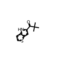 CC(C)(C)C(=O)c1cc2sccc2[nH]1